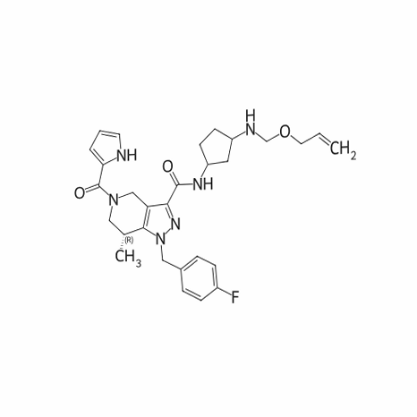 C=CCOCNC1CCC(NC(=O)c2nn(Cc3ccc(F)cc3)c3c2CN(C(=O)c2ccc[nH]2)C[C@H]3C)C1